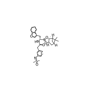 CC1(C)[C@@H]2C[C@H]3OB([C@H](Cc4coc5ccccc45)NC(=O)Cc4cccc(N=S(C)(C)=O)c4)O[C@@]3(C)[C@H]1C2